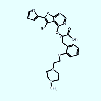 CN1CCN(CCOc2ccccc2C[C@@H](Oc2ncnc3sc(-c4ccco4)c(Br)c23)C(=O)O)CC1